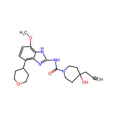 C#CCC1(O)CCN(C(=O)Nc2nc3c(C4CCOCC4)ccc(OC)c3[nH]2)CC1